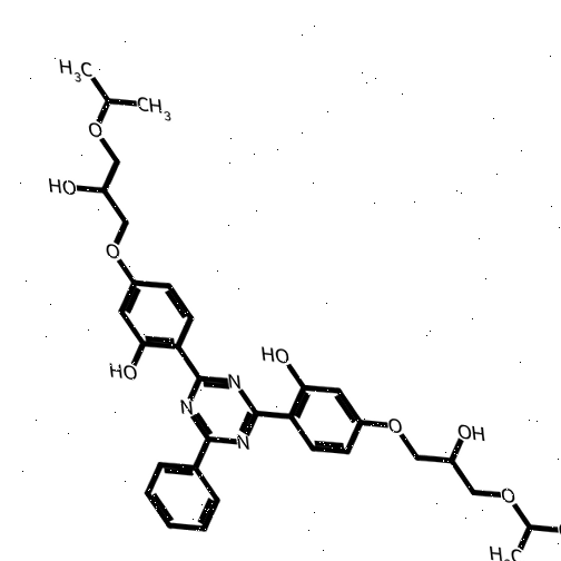 CC(C)OCC(O)COc1ccc(-c2nc(-c3ccccc3)nc(-c3ccc(OCC(O)COC(C)C)cc3O)n2)c(O)c1